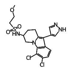 COCCS(=O)(=O)NC1CCc2c(-c3cn[nH]c3)c3ccc(Cl)c(Cl)c3n2C1